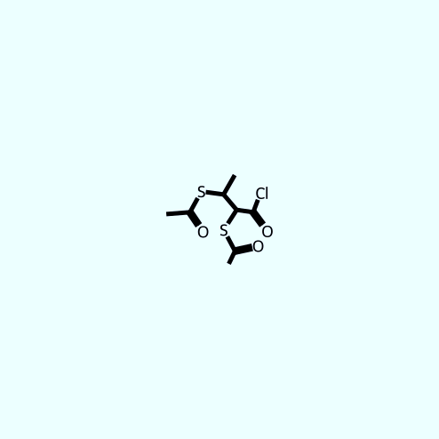 CC(=O)SC(C)C(SC(C)=O)C(=O)Cl